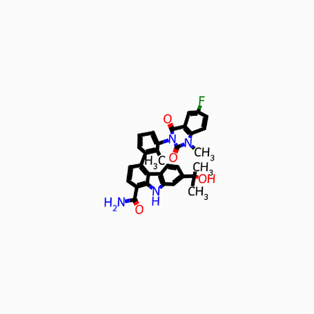 Cc1c(-c2ccc(C(N)=O)c3[nH]c4cc(C(C)(C)O)ccc4c23)cccc1-n1c(=O)c2cc(F)ccc2n(C)c1=O